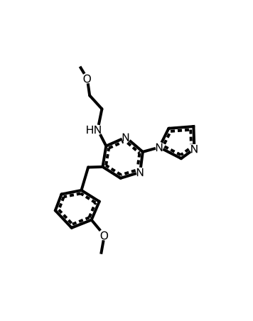 COCCNc1nc(-n2ccnc2)ncc1Cc1cccc(OC)c1